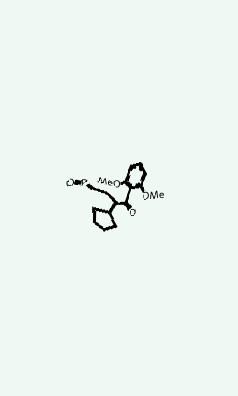 COc1cccc(OC)c1C(=O)C(CCP=O)C1CCCC1